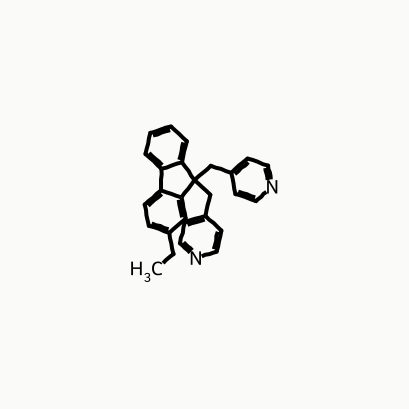 CCc1ccc2c(c1)C(Cc1ccncc1)(Cc1ccncc1)c1ccccc1-2